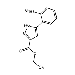 COc1ccccc1-c1cc(C(=O)OCO)n[nH]1